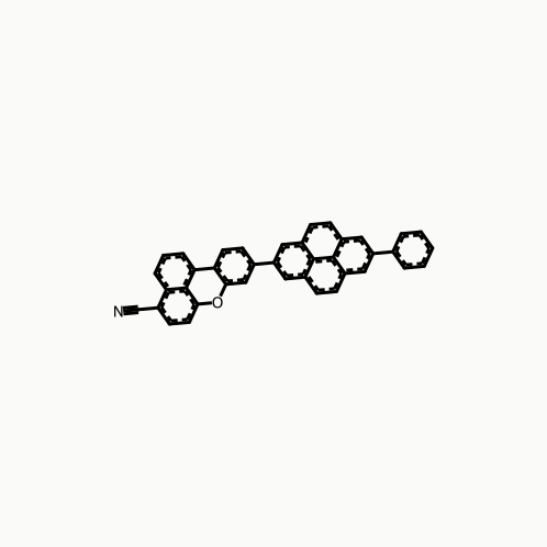 N#Cc1ccc2c3c(cccc13)-c1ccc(-c3cc4ccc5cc(-c6ccccc6)cc6ccc(c3)c4c56)cc1O2